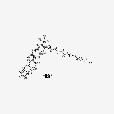 Br.CCCCCCCCCCCCCCOc1cc(CN(C(C)=O)c2ccc(CN3C=CSC3)cc2)ccc1C(C)(C)C